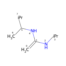 C=C(NC(C)C)NC(C)C(C)C